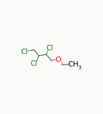 C[CH]OCC(Cl)C(Cl)CCl